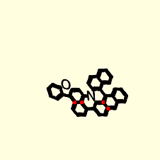 c1ccc(-c2ccccc2N(c2ccc3c(c2)oc2ccccc23)c2ccc3ccccc3c2-c2cccc3ccccc23)cc1